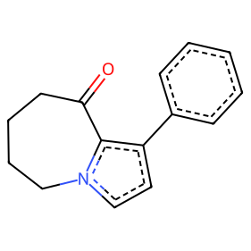 O=C1CCCCn2ccc(-c3ccccc3)c21